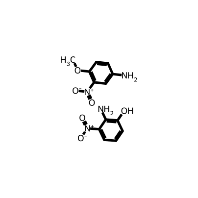 COc1ccc(N)cc1[N+](=O)[O-].Nc1c(O)cccc1[N+](=O)[O-]